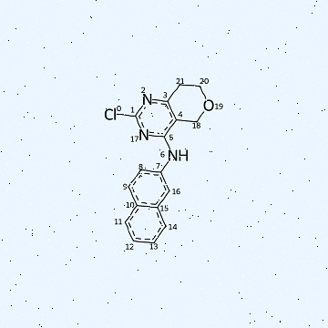 Clc1nc2c(c(Nc3ccc4ccccc4c3)n1)COCC2